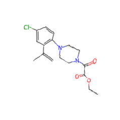 C=C(C)c1cc(Cl)ccc1N1CCN(C(=O)C(=O)OCC)CC1